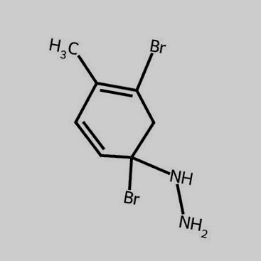 CC1=C(Br)CC(Br)(NN)C=C1